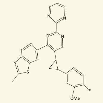 COc1cc(C2CC2c2cnc(-c3ncccn3)nc2-c2ccc3nc(C)sc3c2)ccc1F